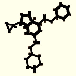 c1ccc(CNc2cc(NCC3CCNCC3)nc3c(C4CC4)cnn23)cc1